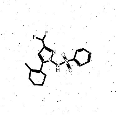 CC1=C(c2cc(C(F)F)nn2NS(=O)(=O)c2ccccc2)CCCC1